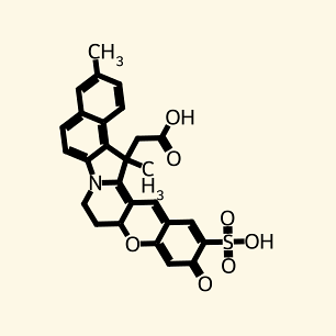 Cc1ccc2c3c(ccc2c1)N1CCC2OC4=CC(=O)C(S(=O)(=O)O)=CC4=CC2=C1C3(C)CC(=O)O